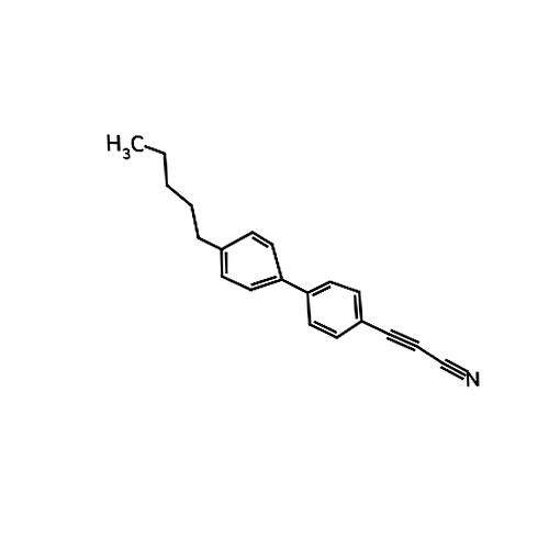 CCCCCc1ccc(-c2ccc(C#CC#N)cc2)cc1